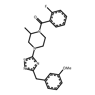 COc1cccc(Cc2nsc(N3CCN(C(=O)c4ccccc4F)C(C)C3)n2)c1